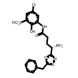 N[C@@H](CCC(=O)Nc1cc(Cl)cc(S(=O)(=O)O)c1O)c1nnc(Cc2ccccc2)o1